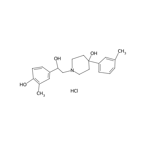 Cc1cccc(C2(O)CCN(CC(O)c3ccc(O)c(C)c3)CC2)c1.Cl